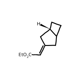 CCOC(=O)/C=C1/CC2CC[C@H]2C1